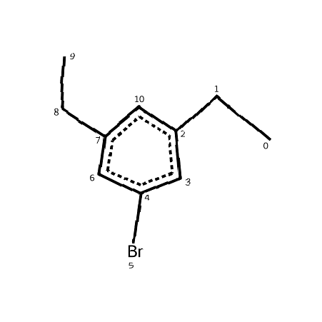 CCc1cc(Br)cc(CC)c1